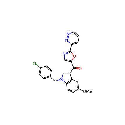 COc1ccc2c(c1)c(C(=O)c1cnc(-c3cccnn3)o1)cn2Cc1ccc(Cl)cc1